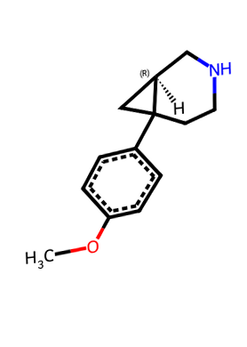 COc1ccc(C23CCNC[C@@H]2C3)cc1